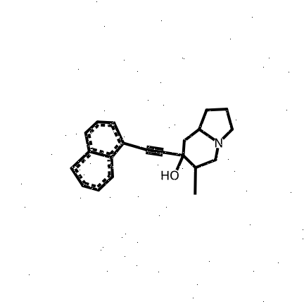 CC1CN2CCCC2CC1(O)C#Cc1cccc2ccccc12